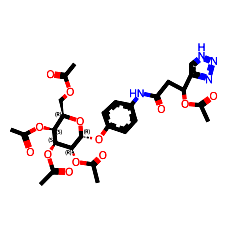 CC(=O)OC[C@H]1O[C@H](Oc2ccc(NC(=O)CC(OC(C)=O)c3c[nH]nn3)cc2)[C@H](OC(C)=O)[C@@H](OC(C)=O)[C@H]1OC(C)=O